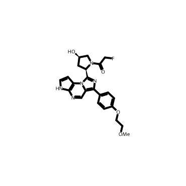 COCCOc1ccc(-c2nc([C@H]3C[C@@H](O)CN3C(=O)CF)n3c2cnc2[nH]ccc23)cc1